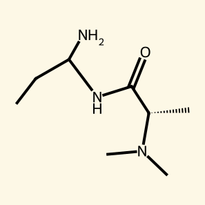 CCC(N)NC(=O)[C@H](C)N(C)C